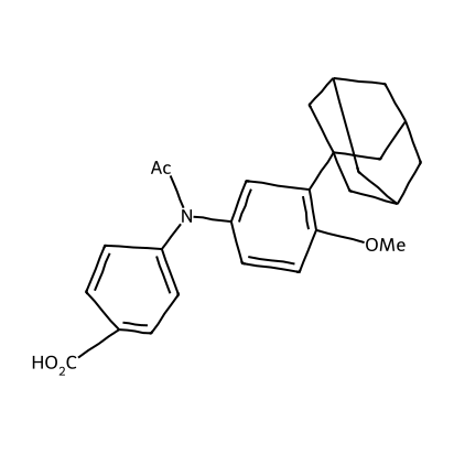 COc1ccc(N(C(C)=O)c2ccc(C(=O)O)cc2)cc1C12CC3CC(CC(C3)C1)C2